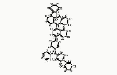 c1ccc(N(c2ccc(-c3ccc(N(c4ccccc4)c4cccc5c4oc4ccccc45)c4ccccc34)cc2)c2ccc3c(c2)sc2ccccc23)cc1